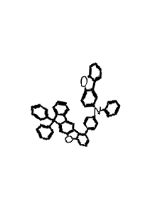 c1ccc(N(c2ccc(-c3cccc4oc5cc6c(cc5c34)-c3ccccc3C6(c3ccccc3)c3ccccc3)cc2)c2ccc3oc4ccccc4c3c2)cc1